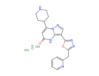 Cl.Cl.Cl.O=c1cc(C2CCNCC2)n2ncc(-c3nnc(Cc4ccccn4)o3)c2[nH]1